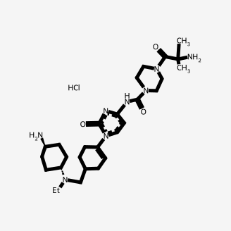 CCN(CC1CC=C(n2ccc(NC(=O)N3CCN(C(=O)C(C)(C)N)CC3)nc2=O)CC1)[C@H]1CC[C@H](N)CC1.Cl